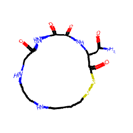 NC(=O)C1NC(=O)C(=O)NC(=O)CNCCNCCCSSC1=O